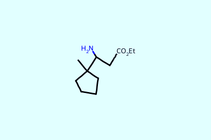 CCOC(=O)CC(N)C1(C)CCCC1